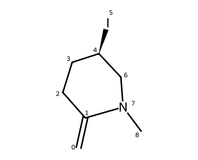 C=C1CC[C@@H](I)CN1C